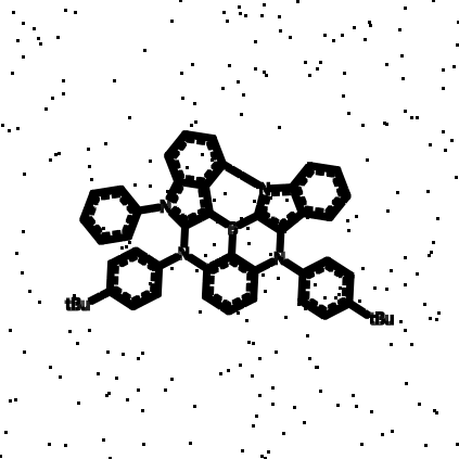 CC(C)(C)c1ccc(N2c3cccc4c3B3c5c(n(-c6ccccc6)c6cccc(c56)-n5c3c2c2ccccc25)N4c2ccc(C(C)(C)C)cc2)cc1